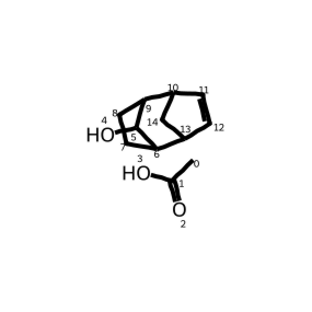 CC(=O)O.OC1C2CCC1C1C=CC2C1